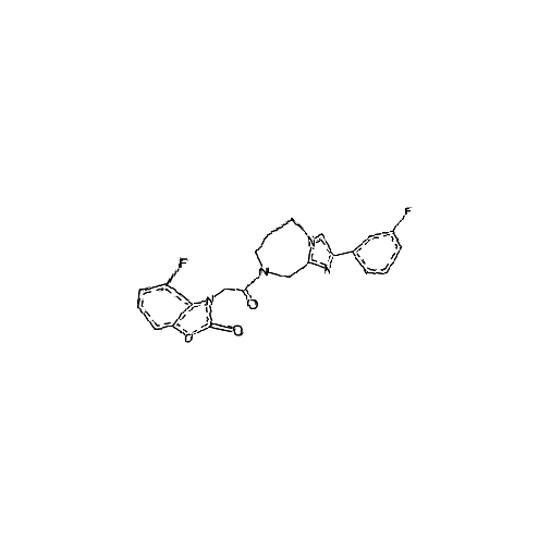 O=C(Cn1c(=O)oc2cccc(F)c21)N1CCCn2cc(-c3cccc(F)c3)nc2C1